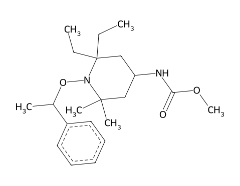 CCC1(CC)CC(NC(=O)OC)CC(C)(C)N1OC(C)c1ccccc1